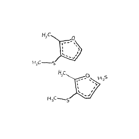 CSc1ccoc1C.CSc1ccoc1C.S